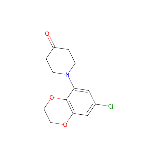 O=C1CCN(c2cc(Cl)cc3c2OCCO3)CC1